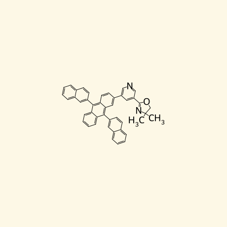 CC1(C)COC(c2cncc(-c3ccc4c(-c5ccc6ccccc6c5)c5ccccc5c(-c5ccc6ccccc6c5)c4c3)c2)=N1